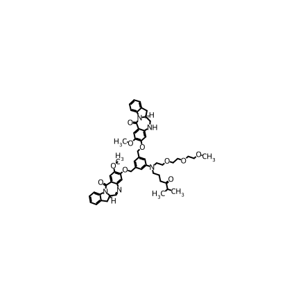 COCCOCCOCCN(CCCC(=O)C(C)C)c1cc(COc2cc3c(cc2OC)C(=O)N2c4ccccc4C[C@H]2C=N3)cc(COc2cc3c(cc2OC)C(=O)N2c4ccccc4C[C@H]2CN3)c1